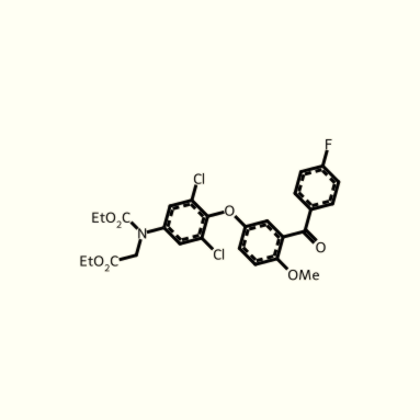 CCOC(=O)CN(C(=O)OCC)c1cc(Cl)c(Oc2ccc(OC)c(C(=O)c3ccc(F)cc3)c2)c(Cl)c1